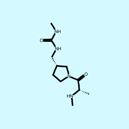 CNC(=O)NC[C@H]1CCN(C(=O)[C@H](C)NC)C1